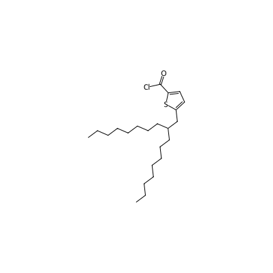 CCCCCCCCC(CCCCCCCC)Cc1ccc(C(=O)Cl)s1